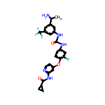 CC(N)c1cc(NC(=O)Nc2ccc(Oc3ccnc(NC(=O)C4CC4)c3)c(F)c2)cc(C(F)(F)F)c1